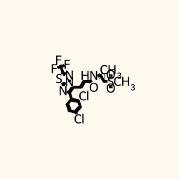 C[C@@H](CS(C)(=O)=O)NC(=O)C=Cc1c(-c2ccc(Cl)cc2Cl)nc2sc(C(F)(F)F)nn12